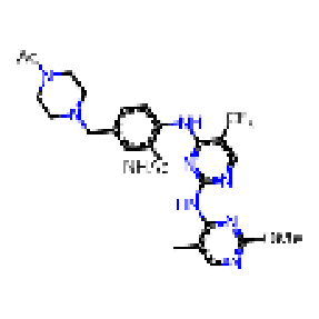 COc1ncc(C)c(Nc2ncc(C(F)(F)F)c(Nc3ccc(CN4CCN(C(C)=O)CC4)cc3NC(C)=O)n2)n1